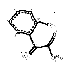 C=C(C(=O)OC)c1ccccc1C